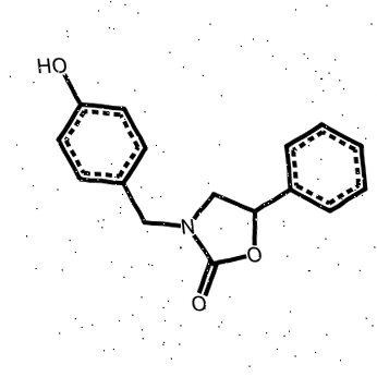 O=C1OC(c2ccccc2)CN1Cc1ccc(O)cc1